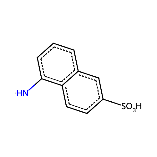 [NH]c1cccc2cc(S(=O)(=O)O)ccc12